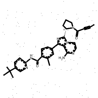 CC#CC(=O)N1CCC[C@H]1c1nc(-c2ccc(C(=O)Nc3ccc(C(C)(C)C)cn3)c(C)c2)c2c(N)nccn12